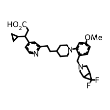 COc1ccc(CN2CC3C(C2)C3(F)F)c(N2CCC(CCc3cc(C(CC(=O)O)C4CC4)ccn3)CC2)c1